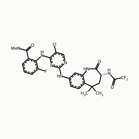 CNC(=O)c1cccc(F)c1Nc1nc(Nc2ccc3c(c2)NC(=O)[C@H](NC(=O)C(F)(F)F)CC3(C)C)ncc1Cl